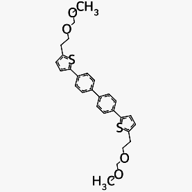 COCOCCc1ccc(-c2ccc(-c3ccc(-c4ccc(CCOCOC)s4)cc3)cc2)s1